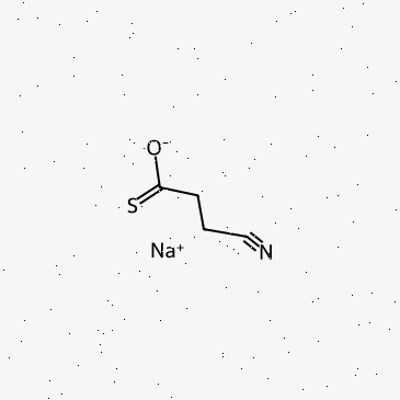 N#CCCC([O-])=S.[Na+]